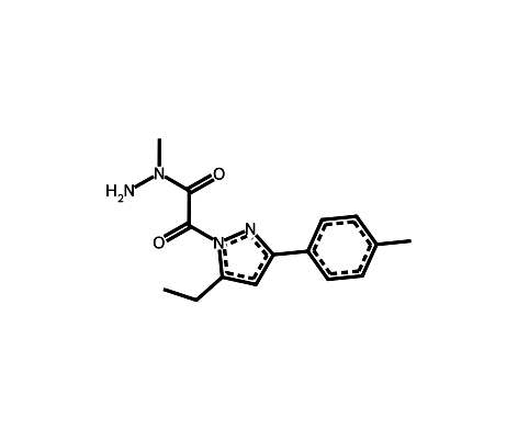 CCc1cc(-c2ccc(C)cc2)nn1C(=O)C(=O)N(C)N